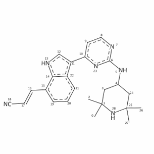 CC1(C)CC(Nc2nccc(-c3c[nH]c4c(C=CC#N)cccc34)n2)CC(C)(C)N1